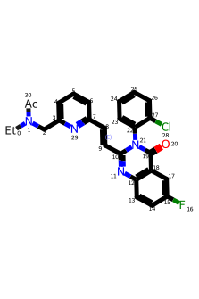 CCN(Cc1cccc(/C=C/c2nc3ccc(F)cc3c(=O)n2-c2ccccc2Cl)n1)C(C)=O